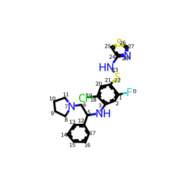 Fc1cc(NC(CN2CCCC2)c2ccccc2)c(Cl)cc1SNc1cscn1